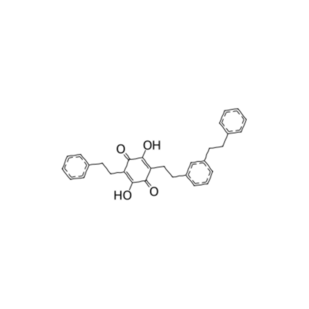 O=C1C(O)=C(CCc2cccc(CCc3ccccc3)c2)C(=O)C(O)=C1CCc1ccccc1